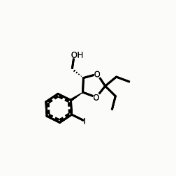 CCC1(CC)O[C@@H](CO)[C@H](c2ccccc2I)O1